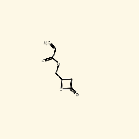 C=CC(=O)OCC1CC(=O)O1